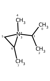 CC(C)[N+]1(C)CC1C